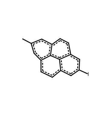 Cc1cc2ccc3cc(I)cc4ccc(c1)c2c34